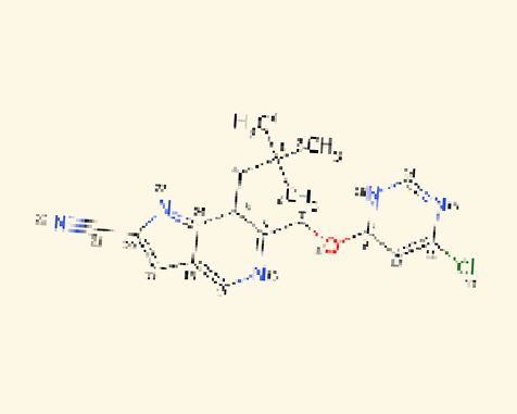 CC(C)(C)CC1C(COc2cc(Cl)ncn2)=NC=C2C=C(C#N)N=C21